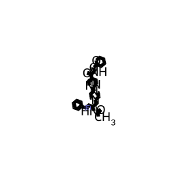 CC(=O)NC(/C=C/c1ccccc1)CN1CCN(c2ncc(C(=O)NOC3CCCCO3)cn2)CC1